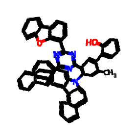 Cc1cc(-n2c3cc4ccccc4cc3c3c4ccccc4ccc32)c(-c2nc(-c3ccc4ccccc4c3)nc(-c3cccc4c3oc3ccccc34)n2)cc1-c1ccccc1O